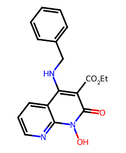 CCOC(=O)c1c(NCc2ccccc2)c2cccnc2n(O)c1=O